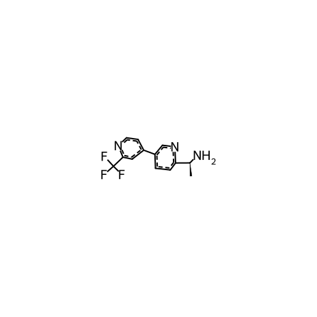 C[C@H](N)c1ccc(-c2ccnc(C(F)(F)F)c2)cn1